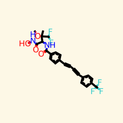 COC(C)(C(F)F)C(NC(=O)c1ccc(C#CC#Cc2ccc(C(F)(F)F)cc2)cc1)C(=O)NO